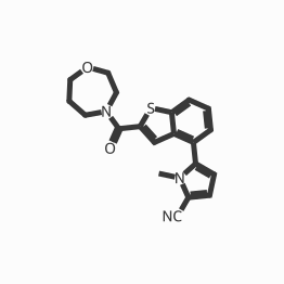 Cn1c(C#N)ccc1-c1cccc2sc(C(=O)N3CCCOCC3)cc12